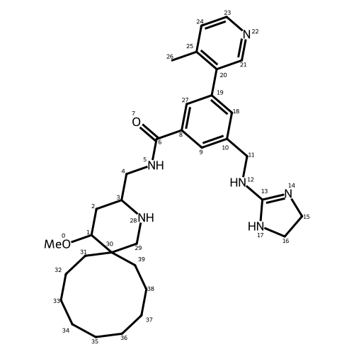 COC1CC(CNC(=O)c2cc(CNC3=NCCN3)cc(-c3cnccc3C)c2)NCC12CCCCCCCCC2